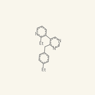 CCc1ccc(Cc2ncncc2-c2cccnc2CC)cc1